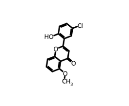 COc1cccc2oc(-c3cc(Cl)ccc3O)cc(=O)c12